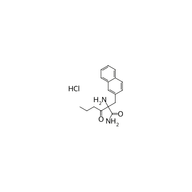 CCCC(=O)C(N)(Cc1ccc2ccccc2c1)C(N)=O.Cl